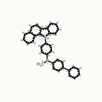 CN(c1ccc(-c2ccccc2)cc1)c1ccc(-n2c3ccccc3c3ccc4ccccc4c32)cc1